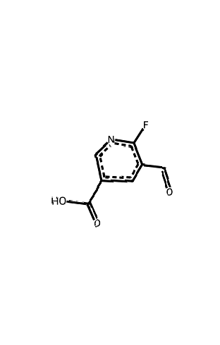 O=Cc1cc(C(=O)O)cnc1F